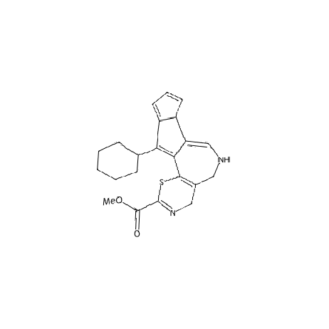 COC(=O)C1=NCC2=C(S1)C1=C(C3CCCCC3)C3=CC=CC3C1=CNC2